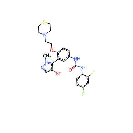 Cn1ncc(Br)c1-c1cc(NC(=O)Nc2ccc(F)cc2F)ccc1OCCN1CCSCC1